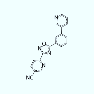 N#Cc1ccc(-c2noc(-c3cccc(-c4cccnc4)c3)n2)nc1